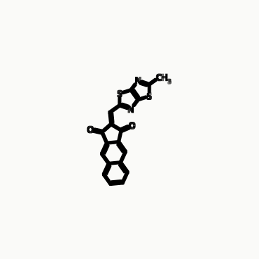 Cc1nc2sc(C=C3C(=O)c4cc5ccccc5cc4C3=O)nc2s1